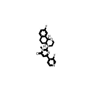 Cn1c(N2CCO[C@H]3c4cc(F)ccc4CC[C@@H]32)nc(-c2ccncc2F)cc1=O